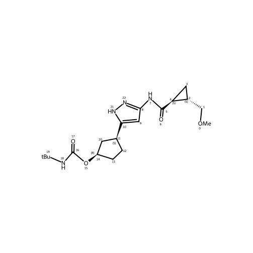 COC[C@H]1C[C@@H]1C(=O)Nc1cc([C@H]2CC[C@@H](OC(=O)NC(C)(C)C)C2)[nH]n1